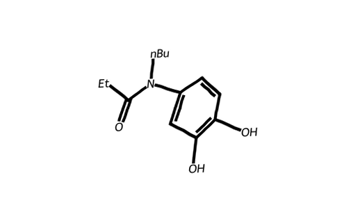 CCCCN(C(=O)CC)c1ccc(O)c(O)c1